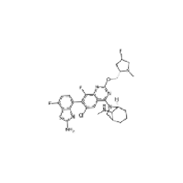 CNC1C2CCC[C@@H]1N(c1nc(OC[C@@H]3C[C@@H](F)CN3C)nc3c(F)c(-c4ccc(F)c5sc(N)nc45)c(Cl)cc13)C2